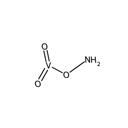 N[O][V](=[O])=[O]